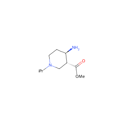 COC(=O)[C@@H]1CN(C(C)C)CC[C@H]1N